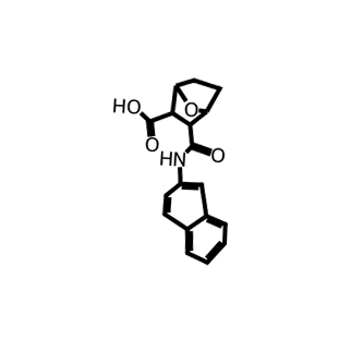 O=C(O)C1C2CCC(O2)C1C(=O)Nc1ccc2ccccc2c1